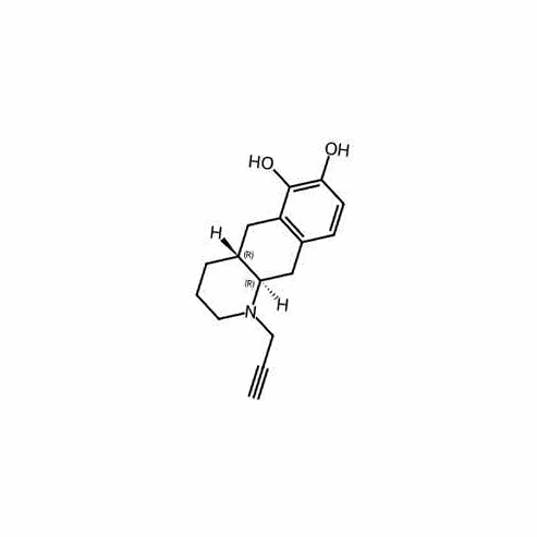 C#CCN1CCC[C@@H]2Cc3c(ccc(O)c3O)C[C@H]21